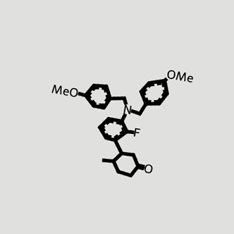 COc1ccc(CN(Cc2ccc(OC)cc2)c2cccc(C3CC(=O)CCC3C)c2F)cc1